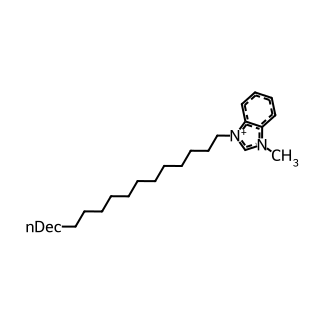 CCCCCCCCCCCCCCCCCCCCCC[n+]1cn(C)c2ccccc21